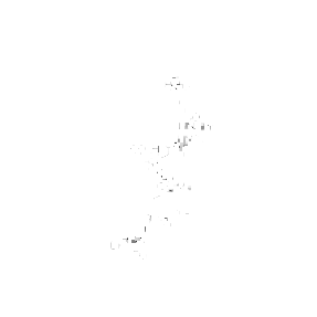 CC[C@H](O)[C@@H](C)[C@H]1O[C@@H]1C[C@@](C)(O)/C=C/C=C(\C)[C@H]1OC(=O)C[C@H](O)CC[C@@](C)(OC)[C@@H](OC(=O)N2CC[N+](CCCC(=O)O)(Cc3ccc(NC(=O)[C@H](C)NC(=O)[C@@H](NC(=O)CCCCCN4C(=O)C=CC4=O)C(C)C)cc3)CC2)/C=C/[C@@H]1C